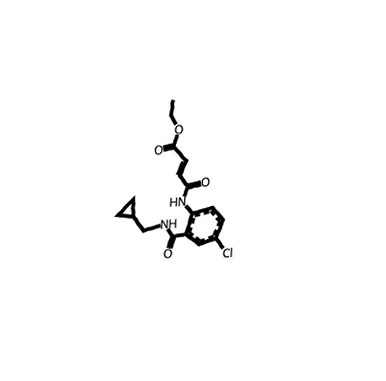 CCOC(=O)C=CC(=O)Nc1ccc(Cl)cc1C(=O)NCC1CC1